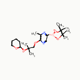 Cc1nc(B2OC(C)(C)C(C)(C)O2)cnc1OCC(C)(C)OC1CCCCO1